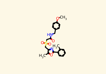 COc1ccc(CNC(=O)CS(=O)(=O)Cc2nc(-c3ccccc3C)oc2C)cc1